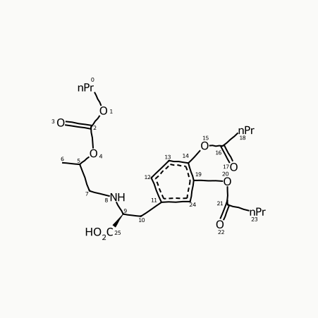 CCCOC(=O)OC(C)CN[C@@H](Cc1ccc(OC(=O)CCC)c(OC(=O)CCC)c1)C(=O)O